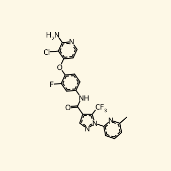 Cc1cccc(-n2ncc(C(=O)Nc3ccc(Oc4ccnc(N)c4Cl)c(F)c3)c2C(F)(F)F)n1